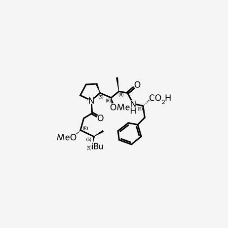 CC[C@H](C)[C@H](C)[C@@H](CC(=O)N1CCC[C@H]1[C@H](OC)[C@@H](C)C(=O)N[C@@H](Cc1ccccc1)C(=O)O)OC